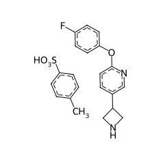 Cc1ccc(S(=O)(=O)O)cc1.Fc1ccc(Oc2ccc(C3CNC3)cn2)cc1